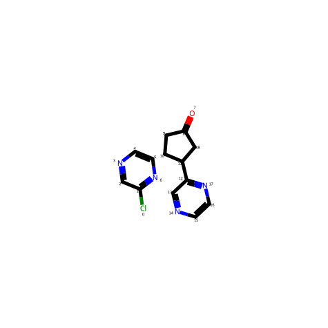 Clc1cnccn1.O=C1CCC(c2cnccn2)C1